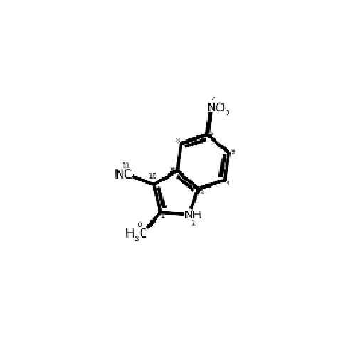 Cc1[nH]c2ccc([N+](=O)[O-])cc2c1C#N